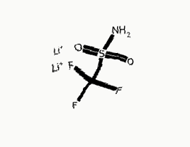 NS(=O)(=O)C(F)(F)F.[Li+].[Li+]